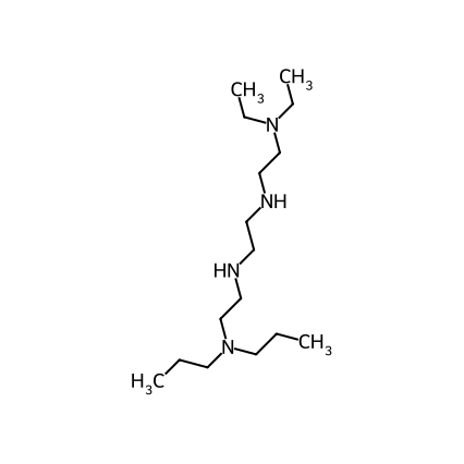 CCCN(CCC)CCNCCNCCN(CC)CC